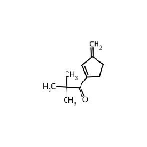 C=C1C=C(C(=O)C(C)(C)C)CC1